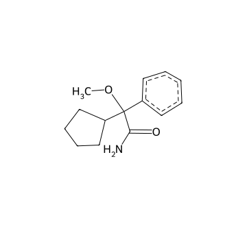 COC(C(N)=O)(c1ccccc1)C1CCCC1